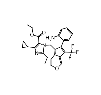 CCOC(=O)c1c(C2CC2)nc(CC)n1Cc1c2ccocc-2c(C(F)(F)F)c1-c1ccccc1N